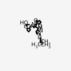 C[Si](C)(C)CCOCn1ccc2c(-c3cn([C@H](CC(=O)O)C4CCCC4)nc3N3C(=O)C=CC3=O)ncnc21